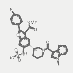 CCS(=O)(=O)Nc1cc2oc(-c3ccc(F)cc3)c(C(=O)NC)c2cc1[C@H]1CCCN(C(=O)c2cn(C)c3ccccc23)C1